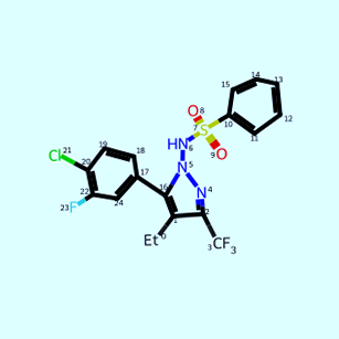 CCc1c(C(F)(F)F)nn(NS(=O)(=O)c2ccccc2)c1-c1ccc(Cl)c(F)c1